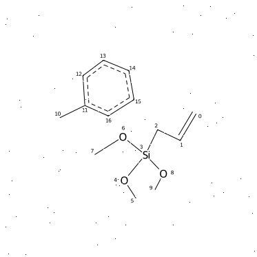 C=CC[Si](OC)(OC)OC.Cc1ccccc1